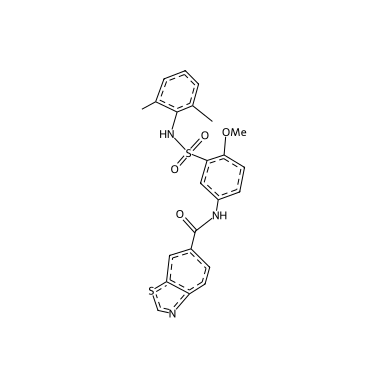 COc1ccc(NC(=O)c2ccc3ncsc3c2)cc1S(=O)(=O)Nc1c(C)cccc1C